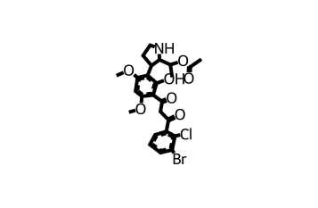 COc1cc(OC)c(C2CCNC2C(C)OC(C)=O)c(O)c1C(=O)CC(=O)c1cccc(Br)c1Cl